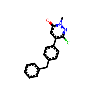 Cn1nc(Cl)c(-c2ccc(Cc3ccccc3)cc2)cc1=O